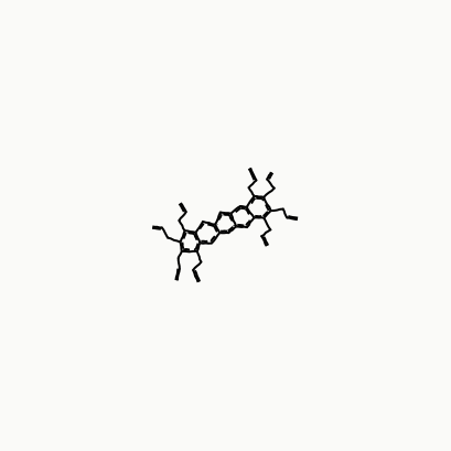 C=CCc1c(CC=C)c(CC=C)c2cc3cc4cc5c(CC=C)c(CC=C)c(CC=C)c(CC=C)c5cc4cc3cc2c1CC=C